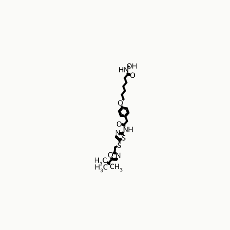 CC(C)(C)c1cnc(CSc2cnc(NC(=O)Cc3ccc(OCCCCCCC(=O)NO)cc3)s2)o1